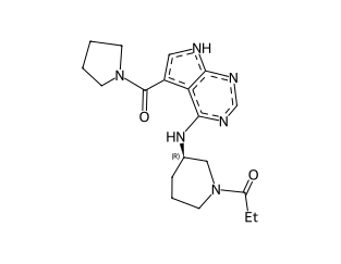 CCC(=O)N1CCC[C@@H](Nc2ncnc3[nH]cc(C(=O)N4CCCC4)c23)C1